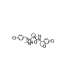 Cc1nnc([C@H]2CCCN2C(=O)N[C@H]2CCOc3cc(Cl)ccc32)n1Cc1ccc(Cl)cc1